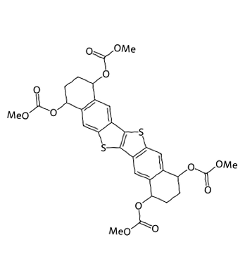 COC(=O)OC1CCC(OC(=O)OC)c2cc3c(cc21)sc1c2cc4c(cc2sc31)C(OC(=O)OC)CCC4OC(=O)OC